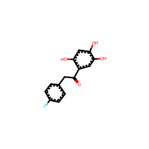 O=C(Cc1ccc(F)cc1)c1cc(O)c(O)cc1O